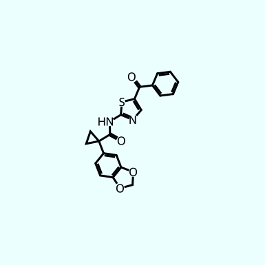 O=C(c1ccccc1)c1cnc(NC(=O)C2(c3ccc4c(c3)OCO4)CC2)s1